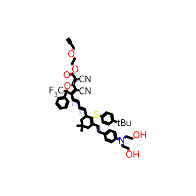 C#CCOCCOC(=O)/C(C#N)=C1\OC(c2ccccc2)(C(F)(F)F)C(/C=C/C=C/C2CC(C)(C)CC(/C=C/c3ccc(N(CCO)CCO)cc3)=C2Sc2ccc(C(C)(C)C)cc2)=C1C#N